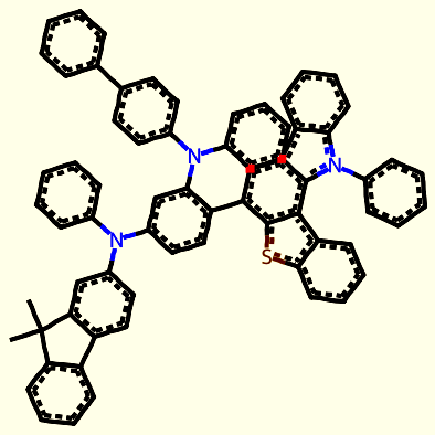 CC1(C)c2ccccc2-c2ccc(N(c3ccccc3)c3ccc(-c4cc5c6ccccc6n(-c6ccccc6)c5c5c4sc4ccccc45)c(N(c4ccccc4)c4ccc(-c5ccccc5)cc4)c3)cc21